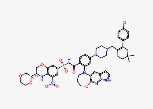 CC1(C)CCC(CN2CCN(c3ccc(C(=O)NS(=O)(=O)c4cc5c(c([N+](=O)[O-])c4)N[C@@H]([C@@H]4COCCO4)CO5)c(N4CCCOc5nc6[nH]ccc6cc54)c3)CC2)=C(c2ccc(Cl)cc2)C1